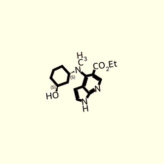 CCOC(=O)c1cnc2[nH]ccc2c1N(C)[C@H]1CCC[C@H](O)C1